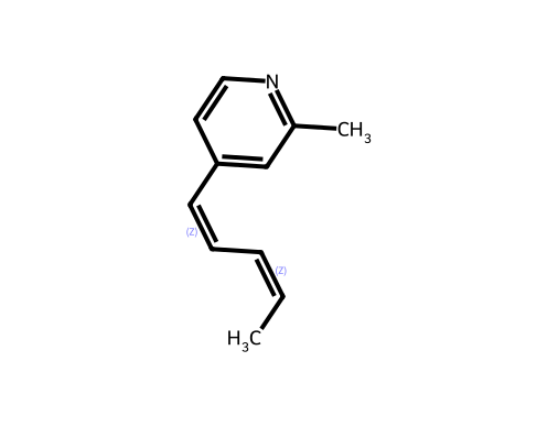 C/C=C\C=C/c1ccnc(C)c1